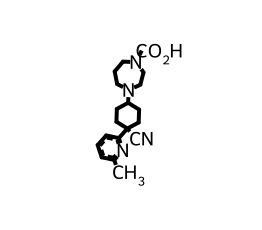 Cc1cccc(C2(C#N)CCC(N3CCCN(C(=O)O)CC3)CC2)n1